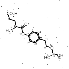 NC(CCC(=O)O)C(=O)Oc1ccc(CCON(O)O)cc1